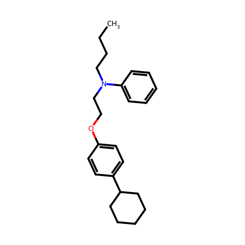 CCCCN(CCOc1ccc(C2CCCCC2)cc1)c1ccccc1